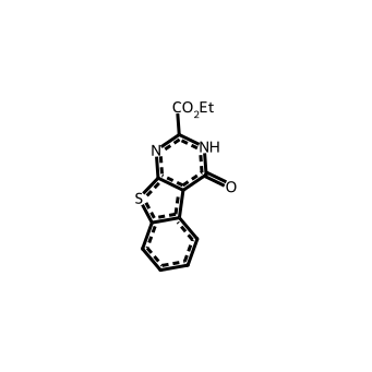 CCOC(=O)c1nc2sc3ccccc3c2c(=O)[nH]1